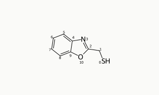 SCc1nc2ccccc2o1